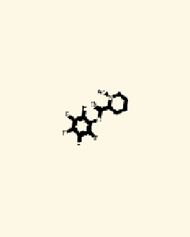 CC(=O)N1CCCCC1C(=O)Oc1c(F)c(F)c(F)c(F)c1F